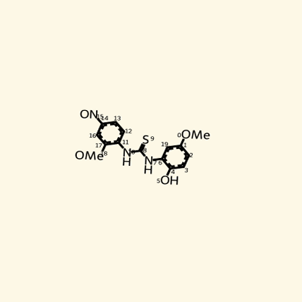 COc1ccc(O)c(NC(=S)Nc2ccc(N=O)cc2OC)c1